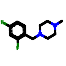 CN1CCN(Cc2ccc(F)cc2F)CC1